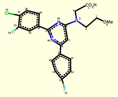 COCCN(CC(=O)O)c1cc(-c2ccc(F)cc2)nc(-c2ccc(Cl)c(F)c2)n1